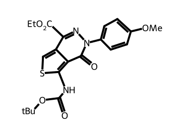 CCOC(=O)c1nn(-c2ccc(OC)cc2)c(=O)c2c(NC(=O)OC(C)(C)C)scc12